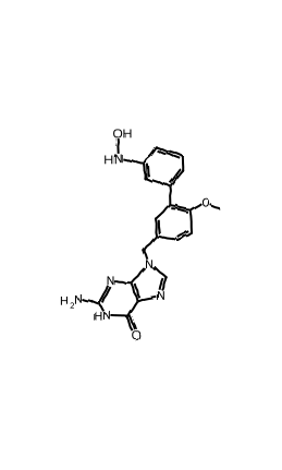 COc1ccc(Cn2cnc3c(=O)[nH]c(N)nc32)cc1-c1cccc(NO)c1